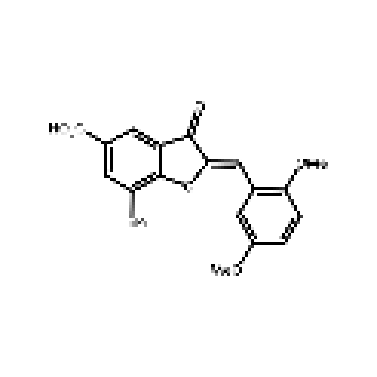 CCCc1cc(C(=O)O)cc2c1OC(=Cc1cc(OC)ccc1OC)C2=O